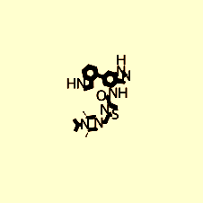 CC(C)N1[C@H](C)CN(Cc2nc(C(=O)Nc3cc(-c4cccc5[nH]ccc45)cc4[nH]ncc34)cs2)C[C@@H]1C